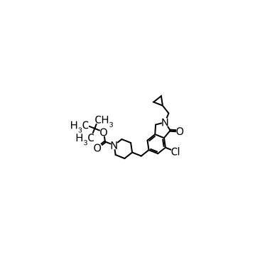 CC(C)(C)OC(=O)N1CCC(Cc2cc(Cl)c3c(c2)CN(CC2CC2)C3=O)CC1